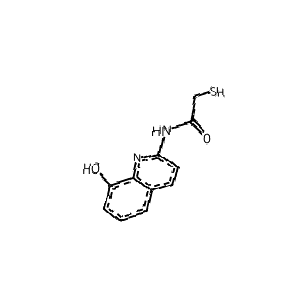 O=C(CS)Nc1ccc2cccc(O)c2n1